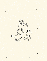 Cc1cc(CN(C)C)nc(C(C)C)c1C(C)C